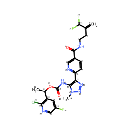 C=C(CCNC(=O)c1ccc(-c2nnn(C)c2NC(=O)O[C@H](C)c2cc(F)cnc2Cl)nc1)C(F)F